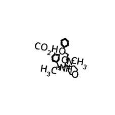 C[C@H](NC(=O)C1(N(C)CCOc2ccccc2)CCOCC1)c1ccc(C(=O)O)cc1